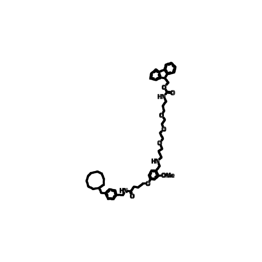 COc1cc(OCCCC(=O)NCc2ccc(CC3CCCCCCCCC3)cc2)ccc1CNCCCOCCOCCOCCCNC(=O)OCC1c2ccccc2-c2ccccc21